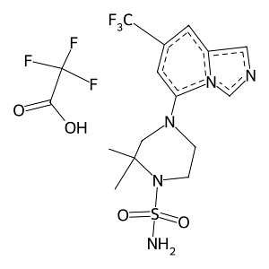 CC1(C)CN(c2cc(C(F)(F)F)cc3cncn23)CCN1S(N)(=O)=O.O=C(O)C(F)(F)F